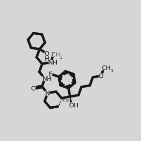 CNC(CNC(=O)N1CCC[C@@H]([C@@](O)(CCCCOC)c2cccc(F)c2)C1)CC1(O)CCCCC1